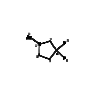 [CH2]C(=O)N1CCC(F)(F)C1